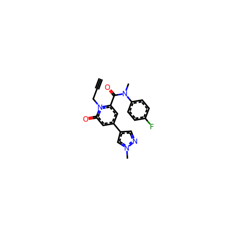 C#CCn1c(C(=O)N(C)c2ccc(F)cc2)cc(-c2cnn(C)c2)cc1=O